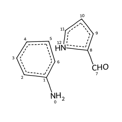 Nc1ccccc1.O=Cc1ccc[nH]1